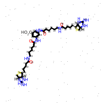 N=C1N[C@H]2[C@H](CS[C@H]2CCCCC(=O)NCCCCCC(=O)Nc2cc(NC(=O)CCCCCNC(=O)CCCC[C@@H]3SC[C@@H]4NC(=N)N[C@@H]43)cc(C(=O)O)c2)N1